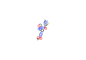 Cc1cn2cc(C(=O)Nc3ccc(N4CCN(C(=O)OC(C)(C)C)CC4)c4cnn(C5CCCCO5)c34)cc(F)c2n1